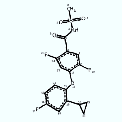 CS(=O)(=O)NC(=O)c1cc(F)c(Oc2ccc(F)cc2C2CC2)cc1F